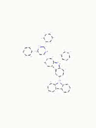 c1ccc(-c2cc(-c3ccc4c5cc(-n6c7ccccc7c7ccccc76)ccc5n(-c5ccccc5)c4c3)nc(-c3ccccc3)n2)cc1